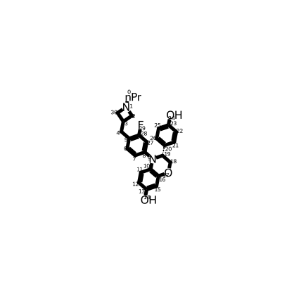 CCCN1CC(Cc2ccc(N3c4ccc(O)cc4OC[C@H]3c3ccc(O)cc3)cc2F)C1